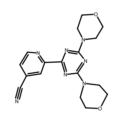 N#Cc1ccnc(-c2nc(N3CCOCC3)nc(N3CCOCC3)n2)c1